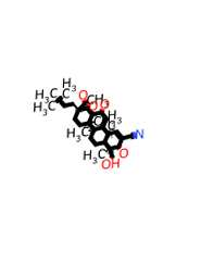 CC1[C@]2(CCC(C)(C)C)CC[C@@]3(C)[C@]4(C)CCC5[C@](C)(C=C(C#N)C(=O)[C@@]5(C)CO)C4=CC(=O)[C@]13OC2=O